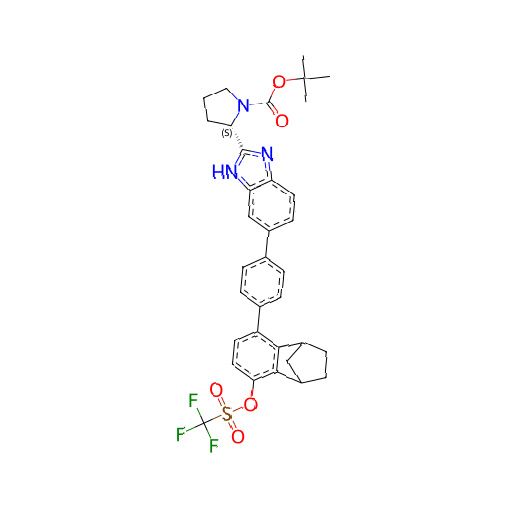 CC(C)(C)OC(=O)N1CCC[C@H]1c1nc2ccc(-c3ccc(-c4ccc(OS(=O)(=O)C(F)(F)F)c5c4C4CCC5C4)cc3)cc2[nH]1